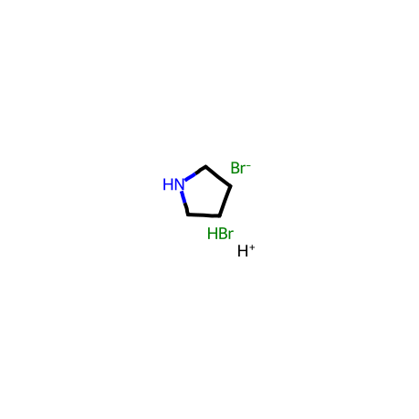 Br.C1CCNC1.[Br-].[H+]